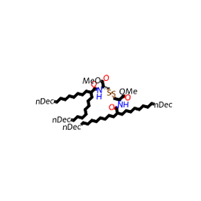 CCCCCCCCCCCCCCCCCCC(CCCCCCCCCCCCCCCCCC)C(=O)NC(CSSC[C@H](NC(=O)C(CCCCCCCCCCCCCCCCCC)CCCCCCCCCCCCCCCCCC)C(=O)OC)C(=O)OC